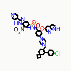 O=C(N[S+]([O-])c1cc([N+](=O)[O-])c2[nH]c(-c3ccncc3)nc2c1)c1ccc(N2CCN(CC3=C(c4ccc(Cl)cc4)CC4(CCC4)CC3)CC2)cc1Oc1cnc2[nH]ccc2c1